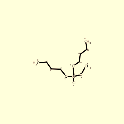 CCCCO[Si](Cl)(OC)OCCCC